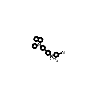 CN(c1ccc(C#N)cc1)c1ccc(-c2ccc(N(c3ccccc3)c3cccc4ccccc34)cc2)cc1